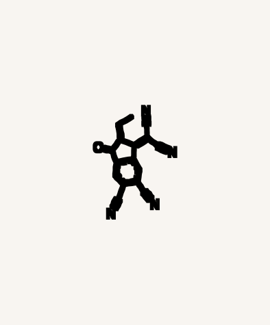 C/C=C1/C(=O)c2cc(C#N)c(C#N)cc2C1=C(C#N)C#N